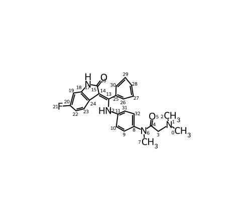 CN(C)CC(=O)N(C)c1ccc(NC(=C2C(=O)Nc3cc(F)ccc32)c2ccccc2)cc1